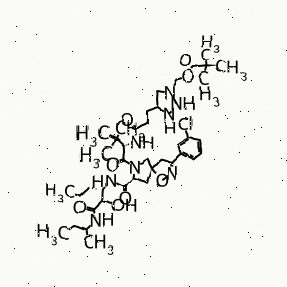 CCC[C@H](NC(=O)[C@@H]1C[C@]2(CC(c3cccc(Cl)c3)=NO2)CN1C(=O)[C@@H](NC(=O)CCC1CN(COC(=O)C(C)(C)C)NN1)C(C)(C)C)C(O)C(=O)NC(C)CC